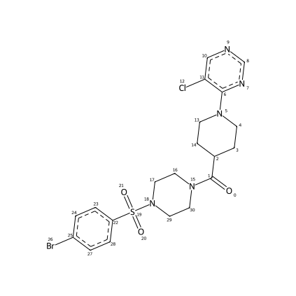 O=C(C1CCN(c2ncncc2Cl)CC1)N1CCN(S(=O)(=O)c2ccc(Br)cc2)CC1